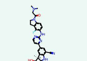 CN(C)CC(=O)N1CCc2c1ccc(Nc1nccc(-c3cc(C#N)c4c(c3)[C@](C)(CO)CN4)n1)c2F